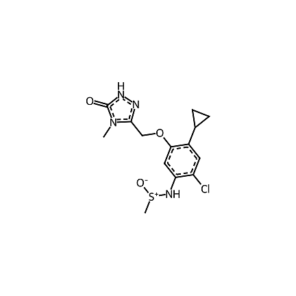 Cn1c(COc2cc(N[S+](C)[O-])c(Cl)cc2C2CC2)n[nH]c1=O